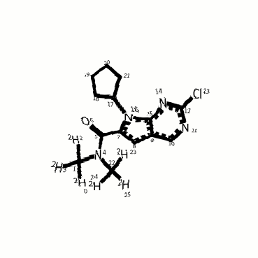 [2H]C([2H])([2H])N(C(=O)c1cc2cnc(Cl)nc2n1C1CCCC1)C([2H])([2H])[2H]